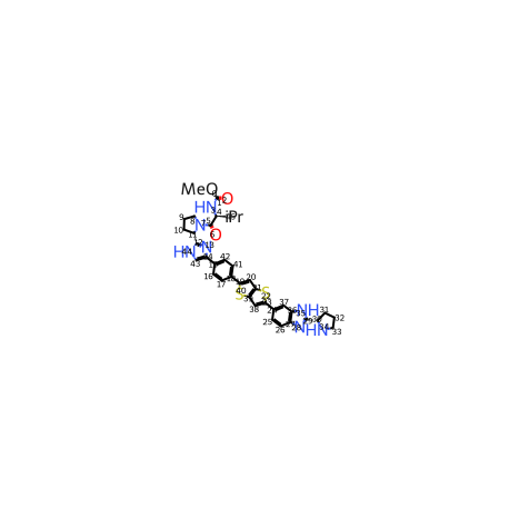 COC(=O)N[C@H](C(=O)N1CCC[C@H]1c1nc(-c2ccc(-c3cc4sc(-c5ccc6nc([C@@H]7CCCN7)[nH]c6c5)cc4s3)cc2)c[nH]1)C(C)C